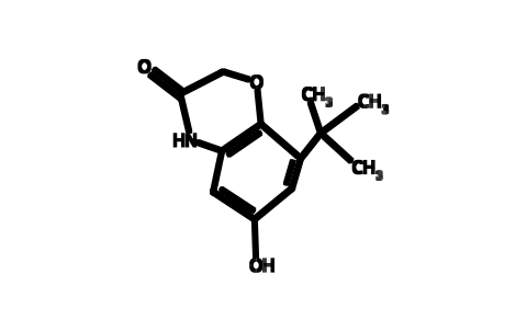 CC(C)(C)c1cc(O)cc2c1OCC(=O)N2